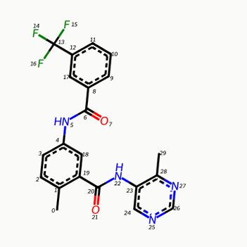 Cc1ccc(NC(=O)c2cccc(C(F)(F)F)c2)cc1C(=O)Nc1cncnc1C